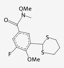 COc1c(F)cc(C(=O)N(C)OC)cc1C1SCCCS1